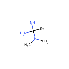 CCC(N)(N)N(C)C